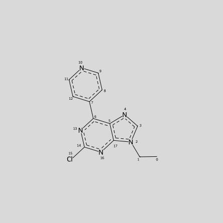 CCn1cnc2c(-c3ccncc3)nc(Cl)nc21